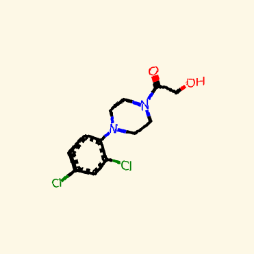 O=C(CO)N1CCN(c2ccc(Cl)cc2Cl)CC1